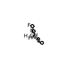 Cc1[nH]c([C@H]2CCN(Cc3ccccc3)C2)nc1-c1ccc(-c2cccc(F)c2)nc1